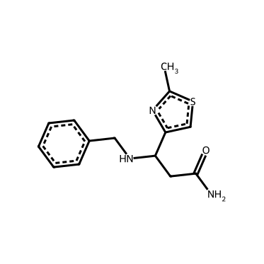 Cc1nc(C(CC(N)=O)NCc2ccccc2)cs1